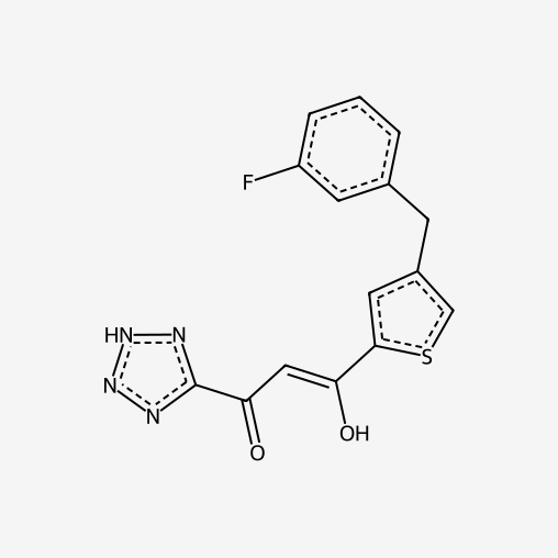 O=C(C=C(O)c1cc(Cc2cccc(F)c2)cs1)c1nn[nH]n1